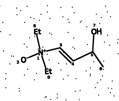 CC[N+]([O-])(/C=C/C(C)O)CC